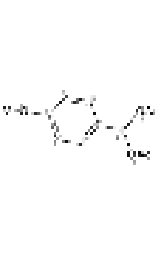 COc1ccc(I(OC(C)=O)OC(C)=O)cc1